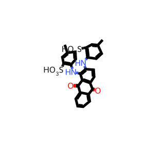 Cc1ccc(Nc2ccc3c(c2Nc2ccc(C)cc2S(=O)(=O)O)C(=O)c2ccccc2C3=O)c(S(=O)(=O)O)c1